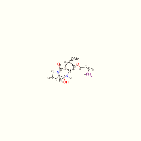 C=C1C[C@H]2[C@H](O)N(C)c3cc(OCCC(C)P)c(OC)cc3C(=O)N2C1